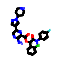 Nc1ncc(-c2cnn(C3CCNCC3)c2)nc1C(=O)O[C@@H](C(=O)Nc1ccc(F)cc1)c1ccccc1Cl